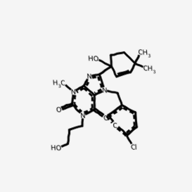 Cn1c(=O)n(CCCO)c(=O)c2c1nc(C1(O)C=CC(C)(C)CC1)n2Cc1ccc(Cl)cc1